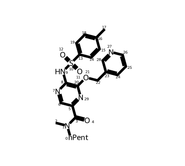 CCCCCN(C)C(=O)c1cnc(NS(=O)(=O)c2ccc(C)cc2)c(OCc2cccnc2)n1